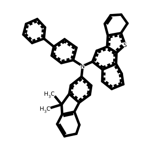 CC1(C)C2=C(CCC=C2)c2ccc(N(c3ccc(-c4ccccc4)cc3)c3cc4c5c(sc4c4ccccc34)CCC=C5)cc21